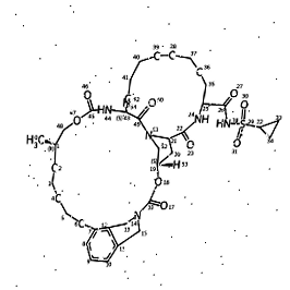 C[C@@H]1CCCCCc2cccc3c2CN(C3)C(=O)O[C@H]2CC3C(=O)NC(C(=O)NS(=O)(=O)C4CC4)CCCCCCCC[C@H](NC(=O)OC1)C(=O)N3C2